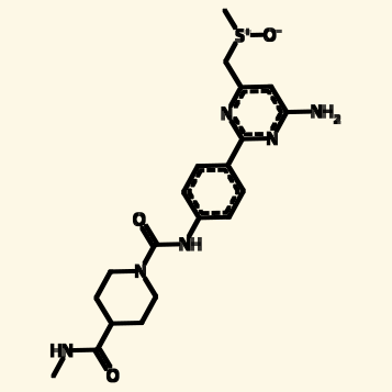 CNC(=O)C1CCN(C(=O)Nc2ccc(-c3nc(N)cc(C[S+](C)[O-])n3)cc2)CC1